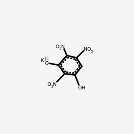 O=[N+]([O-])c1cc(O)c([N+](=O)[O-])c(O)c1[N+](=O)[O-].[K]